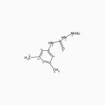 CC(=O)NNC(=O)Nc1cc(C)cc(C)c1